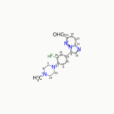 CN1CCN(c2ccc(-c3cnc4ccc(C=O)nn34)cc2F)CC1